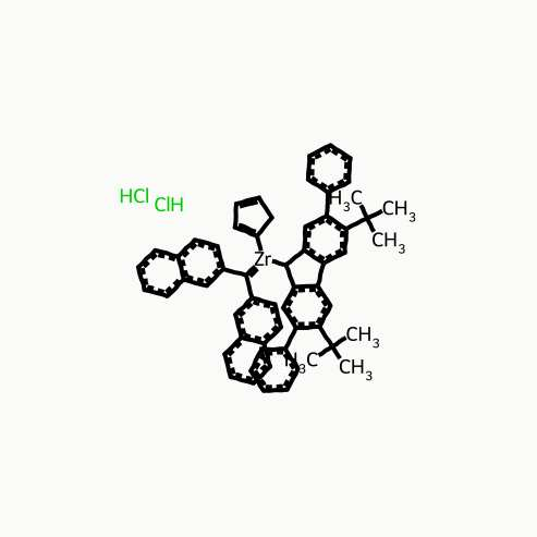 CC(C)(C)c1cc2c(cc1-c1ccccc1)[CH]([Zr]([C]1=CC=CC1)=[C](c1ccc3ccccc3c1)c1ccc3ccccc3c1)c1cc(-c3ccccc3)c(C(C)(C)C)cc1-2.Cl.Cl